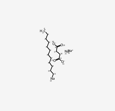 CCCCCCCCCCC[CH2][Na].O=C([O-])CCC(=O)[O-].[Na+].[Na+]